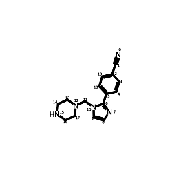 N#Cc1ccc(-c2nccn2CN2CCNCC2)cc1